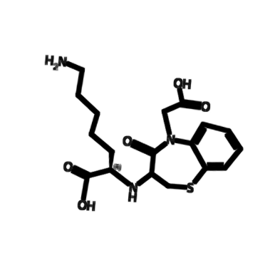 NCCCCC[C@@H](NC1CSc2ccccc2N(CC(=O)O)C1=O)C(=O)O